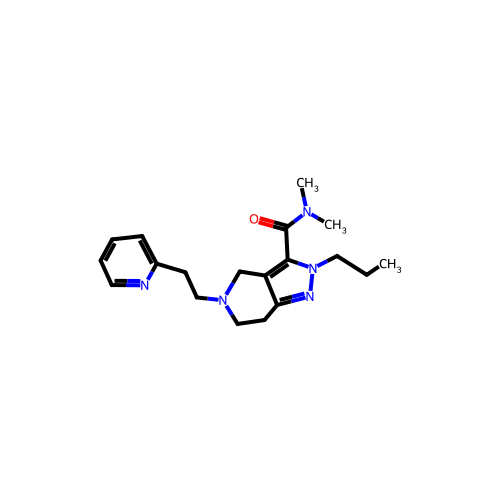 CCCn1nc2c(c1C(=O)N(C)C)CN(CCc1ccccn1)CC2